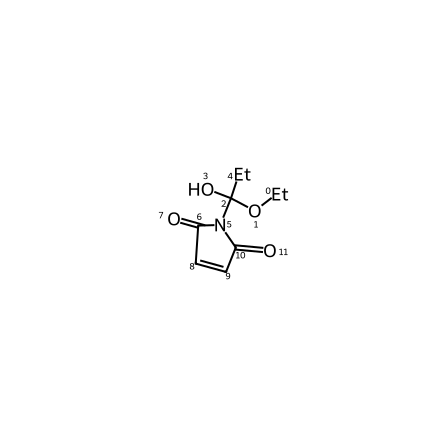 CCOC(O)(CC)N1C(=O)C=CC1=O